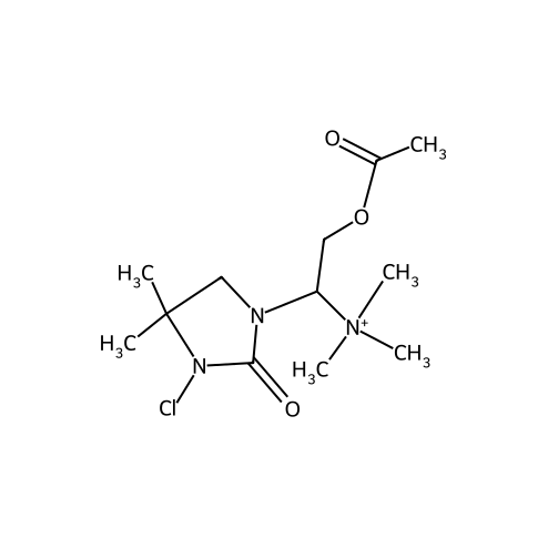 CC(=O)OCC(N1CC(C)(C)N(Cl)C1=O)[N+](C)(C)C